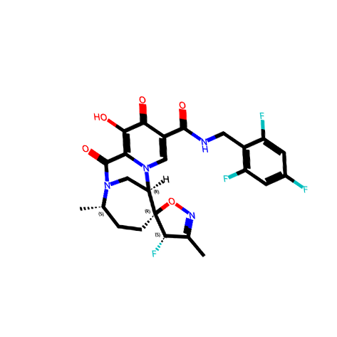 CC1=NO[C@@]2(CC[C@H](C)N3C[C@H]2n2cc(C(=O)NCc4c(F)cc(F)cc4F)c(=O)c(O)c2C3=O)[C@H]1F